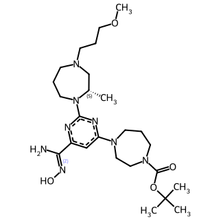 COCCCN1CCCN(c2nc(/C(N)=N/O)cc(N3CCCN(C(=O)OC(C)(C)C)CC3)n2)[C@@H](C)C1